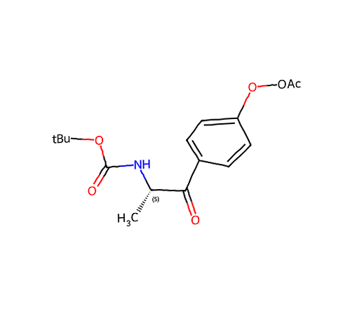 CC(=O)OOc1ccc(C(=O)[C@H](C)NC(=O)OC(C)(C)C)cc1